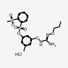 CCCON=C(N)NOc1cc(C)cc(OS(=O)(=O)c2ccccc2S(C)(=O)=O)c1.Cl